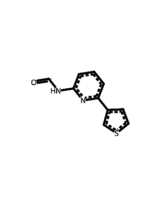 O=[C]Nc1cccc(-c2ccsc2)n1